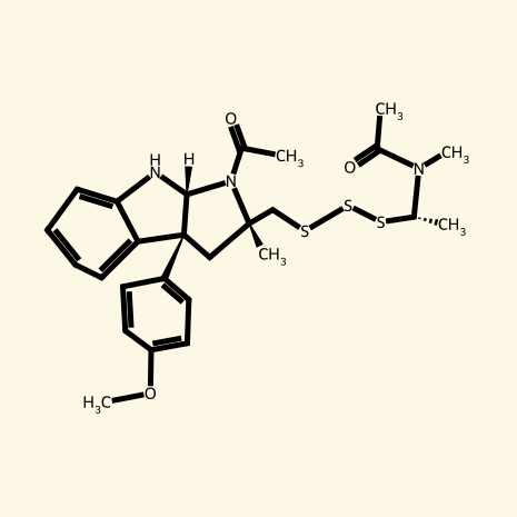 COc1ccc([C@]23C[C@@](C)(CSSS[C@@H](C)N(C)C(C)=O)N(C(C)=O)[C@H]2Nc2ccccc23)cc1